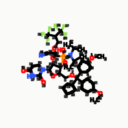 COc1ccc(C(OC[C@H]2O[C@@H](n3ccc(=O)[nH]c3=O)[C@H](OCOCC(C(F)(F)F)C(F)(F)F)[C@@H]2O[PH](O)(CCC#N)N(C(C)C)C(C)C)(c2ccccc2)c2ccc(OC)cc2)cc1